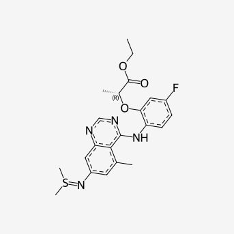 CCOC(=O)[C@@H](C)Oc1cc(F)ccc1Nc1ncnc2cc(N=S(C)C)cc(C)c12